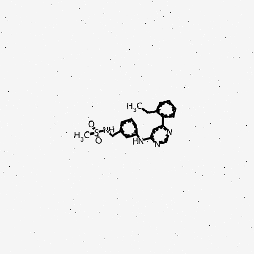 CCc1ccccc1-c1cc(Nc2cccc(CNS(C)(=O)=O)c2)ncn1